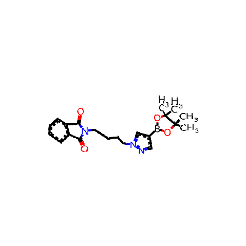 CC1(C)OB(c2cnn(CCCCN3C(=O)c4ccccc4C3=O)c2)OC1(C)C